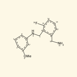 COc1cccc(NCc2c(CN)[c]ccc2F)c1